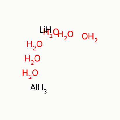 O.O.O.O.O.O.[AlH3].[LiH]